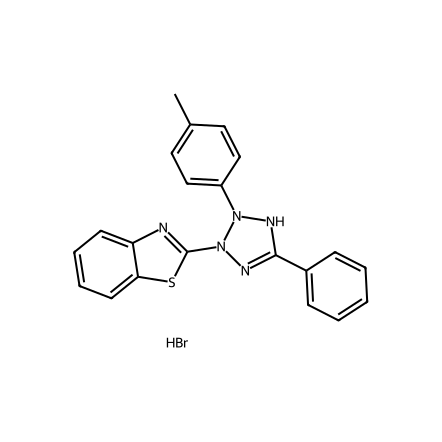 Br.Cc1ccc(N2NC(c3ccccc3)=NN2c2nc3ccccc3s2)cc1